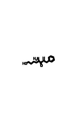 NC(CCCCO)C(=O)NCc1ccccc1